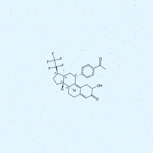 CC(=O)c1ccc([C@H]2C[C@@]3(C)[C@@H](CC[C@H]3C(F)(F)C(F)(F)F)[C@@H]3CCC4=CC(=O)C(O)CC4=C32)cc1